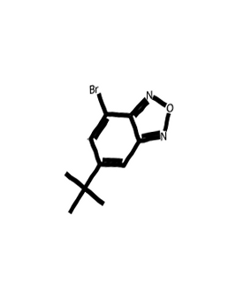 CC(C)(C)c1[c]c(Br)c2nonc2c1